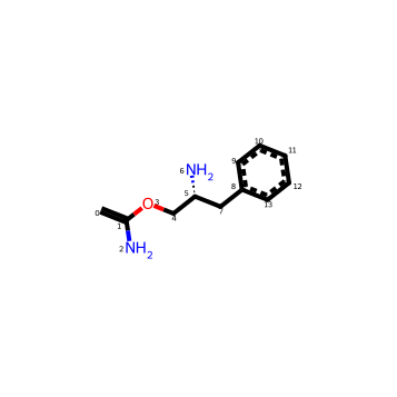 C=C(N)OC[C@H](N)Cc1ccccc1